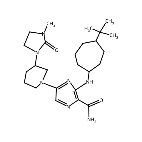 CN1CCN(C2CCCN(c3cnc(C(N)=O)c(NC4CCCC(C(C)(C)C)CC4)n3)C2)C1=O